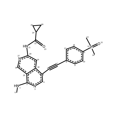 CNc1ncc(C#Cc2ccc(P(C)(C)=O)cc2)c2cc(NC(=O)C3CC3)ncc12